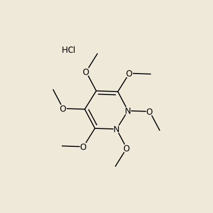 COC1=C(OC)N(OC)N(OC)C(OC)=C1OC.Cl